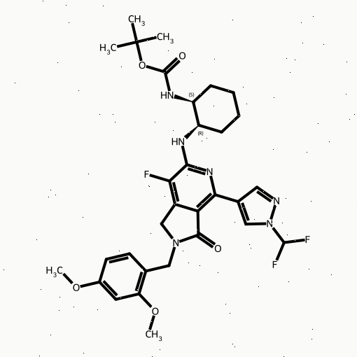 COc1ccc(CN2Cc3c(F)c(N[C@@H]4CCCC[C@@H]4NC(=O)OC(C)(C)C)nc(-c4cnn(C(F)F)c4)c3C2=O)c(OC)c1